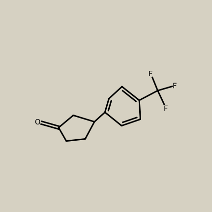 O=C1CCC(c2ccc(C(F)(F)F)cc2)C1